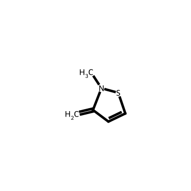 C=C1C=CSN1C